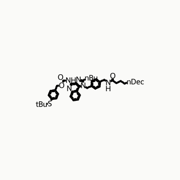 CCCCCCCCCCCCCC(=O)NCc1ccc(Cn2c(CCCC)nc3c(NC(=O)OCc4ccc(SC(C)(C)C)cc4)nc4ccccc4c32)cc1